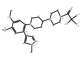 COc1cc(N2CCC(N3CCN(C(=O)C(F)(F)F)CC3)CC2)c(-c2cnn(C)c2)cc1N